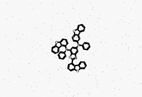 c1ccc(N(c2cc(N(c3ccccc3)c3cccc4oc5ccccc5c34)c3oc(-c4cccc5oc6ccccc6c45)nc3c2)c2ccc3oc4ccccc4c3c2)cc1